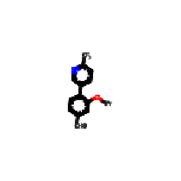 CC(C)Oc1cc(C=O)ccc1-c1ccc(C(F)(F)F)nc1